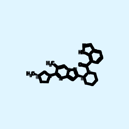 Cc1cn2nc([C@@H]3CCCCN3C(=O)c3cccc4cn[nH]c34)cc2nc1N1CC[C@H](C)C1